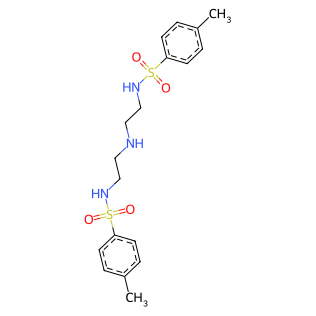 Cc1ccc(S(=O)(=O)NCCNCCNS(=O)(=O)c2ccc(C)cc2)cc1